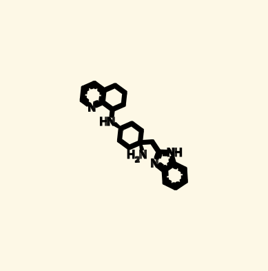 N[C@]1(Cc2nc3ccccc3[nH]2)CC[C@H](NC2CCCc3cccnc32)CC1